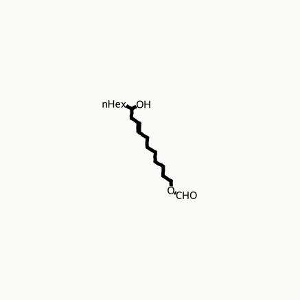 CCCCCCC(O)C/C=C/CCCCCCCOC=O